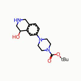 CC(C)(C)OC(=O)N1CCN(c2ccc3c(c2)C(O)CNC3)CC1